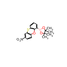 CC1(C)OB(c2cccc3c2Oc2ccc([N+](=O)[O-])cc2S3)OC1(C)C